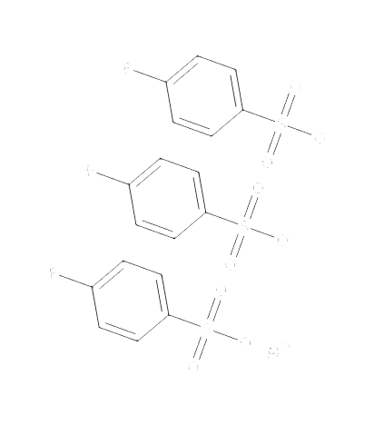 O=S(=O)([O-])c1ccc(F)cc1.O=S(=O)([O-])c1ccc(F)cc1.O=S(=O)([O-])c1ccc(F)cc1.[Al+3]